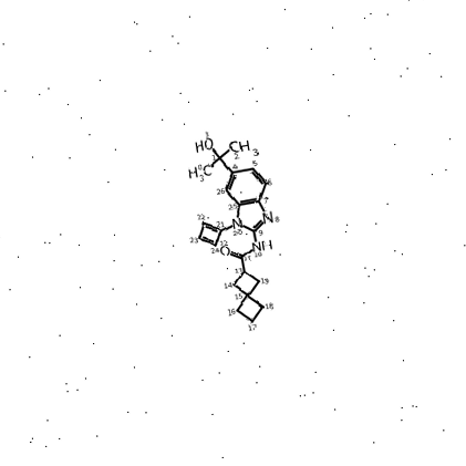 CC(C)(O)c1ccc2nc(NC(=O)C3CC4(CCC4)C3)n(C3=CC=C3)c2c1